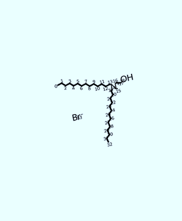 CCCCCCCCCCCCCC[N+](C)(CCO)CCCCCCCCCCCCCC.[Br-]